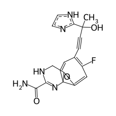 CC(O)(C#CC1=C(F)C=C2OCC3CNC(C(N)=O)=NC23C=C1)c1ncc[nH]1